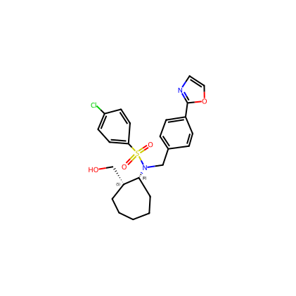 O=S(=O)(c1ccc(Cl)cc1)N(Cc1ccc(-c2ncco2)cc1)[C@@H]1CCCCC[C@@H]1CO